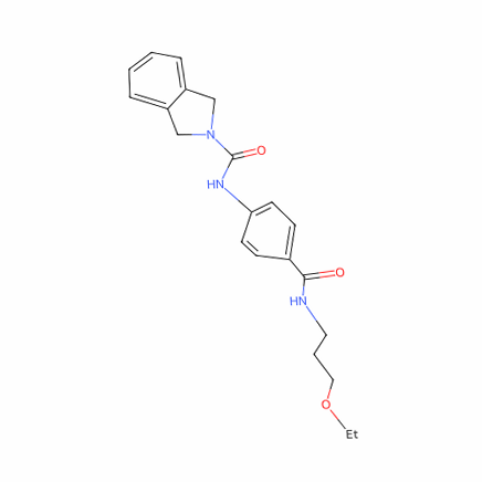 CCOCCCNC(=O)c1ccc(NC(=O)N2Cc3ccccc3C2)cc1